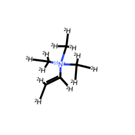 [2H]C([2H])=C([2H])[15N+](C([2H])([2H])[2H])(C([2H])([2H])[2H])C([2H])([2H])[2H]